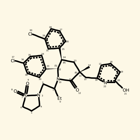 CCC(CN1CCCS1(=O)=O)N1C(=O)[C@@](C)(Cc2cccc(O)n2)C[C@H](c2cccc(Cl)c2)[C@H]1c1ccc(Cl)cc1